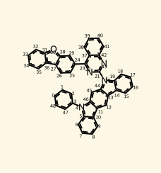 c1ccc(-n2c3ccccc3c3cc4c5ccccc5n(-c5nc(-c6ccc7c(c6)oc6ccccc67)c6ccccc6n5)c4cc32)cc1